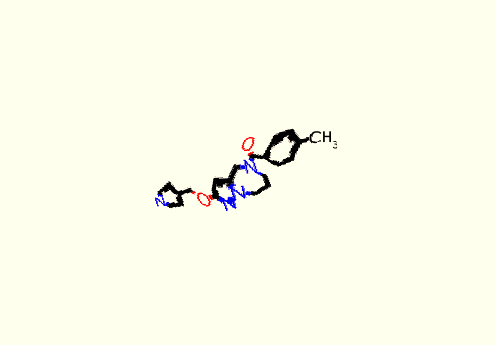 Cc1ccc(C(=O)N2CCCn3nc(OCc4ccncc4)cc3C2)cc1